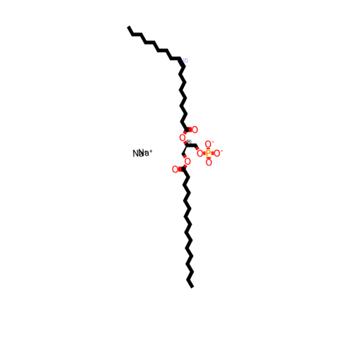 CCCCCCCC/C=C\CCCCCCCC(=O)O[C@H](COC(=O)CCCCCCCCCCCCCCC)COP(=O)([O-])[O-].[Na+].[Na+]